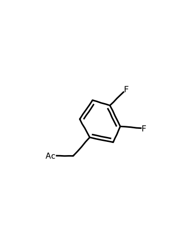 CC(=O)Cc1ccc(F)c(F)c1